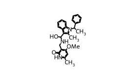 COc1cc(C)[nH]c(=O)c1CNC(O)c1c(C)n(C(C)c2ccccc2)c2ccccc12